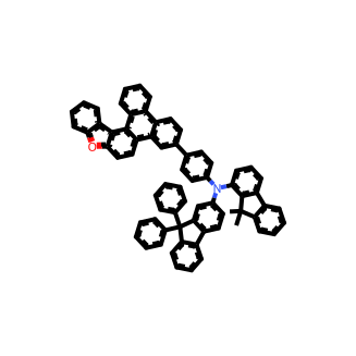 CC1(C)c2ccccc2-c2cccc(N(c3ccc(-c4ccc5c6ccccc6c6c(ccc7oc8ccccc8c76)c5c4)cc3)c3ccc4c(c3)C(c3ccccc3)(c3ccccc3)c3ccccc3-4)c21